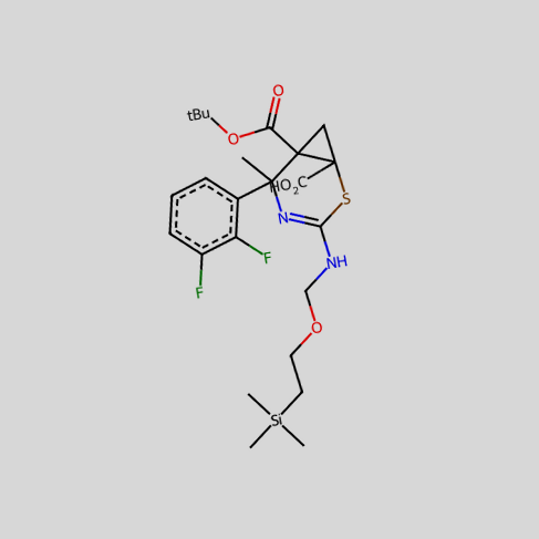 CC(C)(C)OC(=O)C12CC1(C(=O)O)SC(NCOCC[Si](C)(C)C)=NC2(C)c1cccc(F)c1F